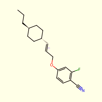 CCC[C@H]1CC[C@H](/C=C/COc2ccc(C#N)c(F)c2)CC1